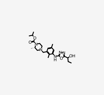 CCC(O)c1nnc(Nc2cc(C)cc(CN3CCN(C(=O)OC(C)C)[C@@H](C)C3)c2C)o1